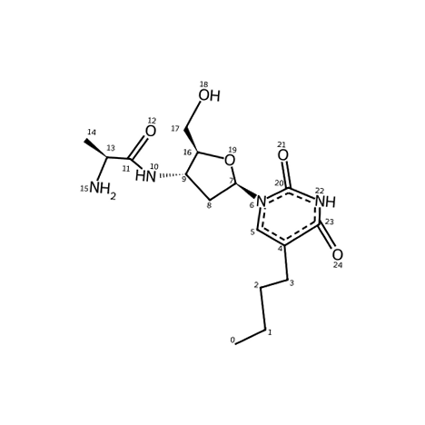 CCCCc1cn([C@H]2C[C@H](NC(=O)[C@H](C)N)[C@@H](CO)O2)c(=O)[nH]c1=O